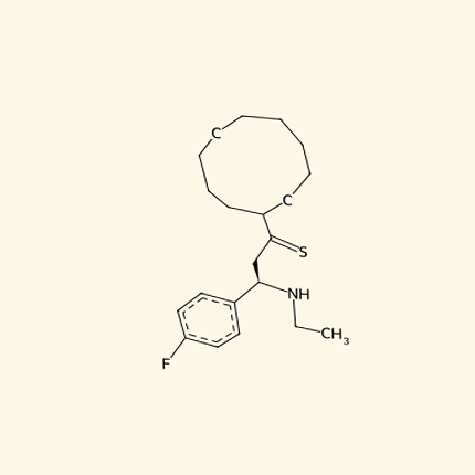 CCN[C@H](CC(=S)C1CCCCCCCCC1)c1ccc(F)cc1